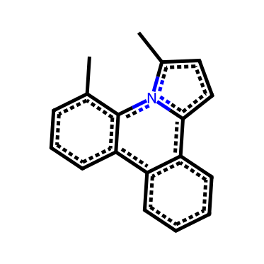 Cc1cccc2c3ccccc3c3ccc(C)n3c12